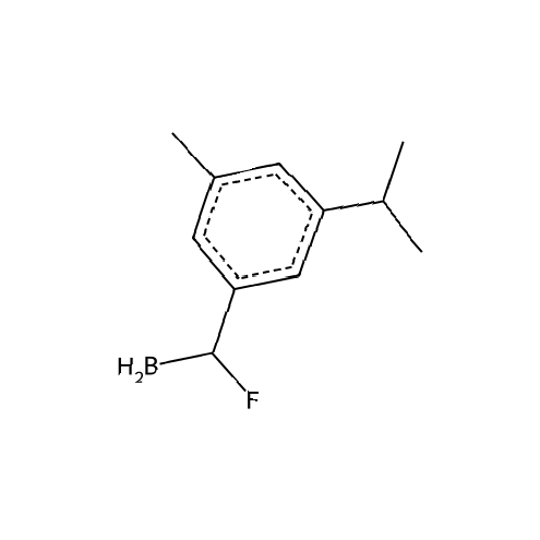 BC(F)c1cc(C)cc(C(C)C)c1